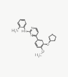 COc1ccc(-c2ccnc(Nc3ccccc3N)n2)cc1OC1CCCC1